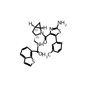 Cc1cccc(-c2sc(N)nc2C(=O)N2[C@H](CNC(=O)c3cccc4ccsc34)C[C@@H]3C[C@@H]32)c1